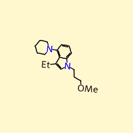 CCc1cn(CCCOC)c2cccc(N3CCCCC3)c12